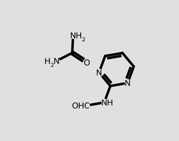 NC(N)=O.O=CNc1ncccn1